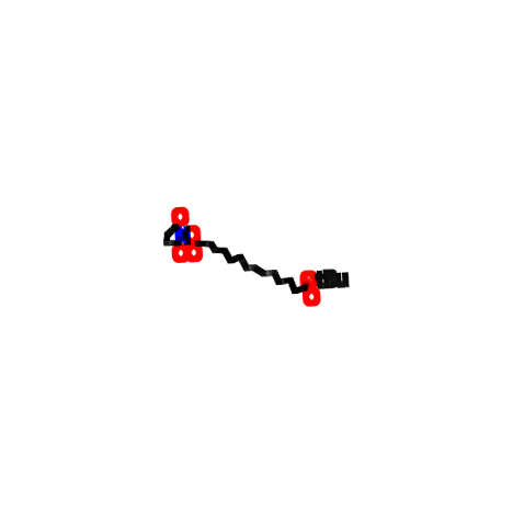 CC(C)(C)OC(=O)CCCCCCCCCCCCC(=O)ON1C(=O)CCC1=O